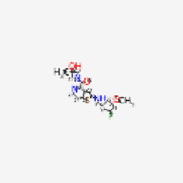 COc1cc(F)cc(CNc2cc3c(C(=O)N4CC(C)(O)C4)nccc3s2)c1